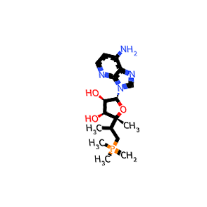 C=P(C)(C)CC(C)[C@@]1(C)O[C@@H](n2cnc3c(N)ccnc32)[C@H](O)[C@@H]1O